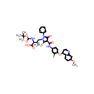 COc1ccc2c(Oc3ccc(NC(=O)c4c(C)n(C[C@@H](C)C(NC(=O)OC(C)(C)C)C(=O)O)n(-c5ccccc5)c4=O)cc3F)ccnc2c1